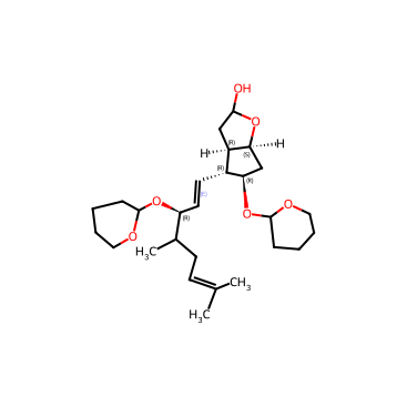 CC(C)=CCC(C)[C@H](/C=C/[C@@H]1[C@H]2CC(O)O[C@H]2C[C@H]1OC1CCCCO1)OC1CCCCO1